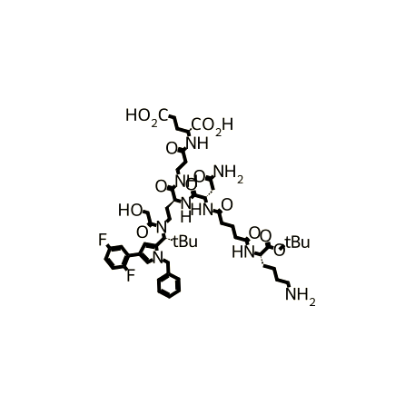 CC(C)(C)OC(=O)[C@H](CCCCN)NC(=O)CCCC(=O)N[C@@H](CC(N)=O)C(=O)N[C@@H](CCN(C(=O)CO)[C@@H](c1cc(-c2cc(F)ccc2F)cn1Cc1ccccc1)C(C)(C)C)C(=O)NCCC(=O)N[C@H](CCC(=O)O)C(=O)O